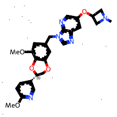 COc1ccc([C@H]2COc3cc(Cn4cnc5cc(OC6CN(C)C6)cnc54)cc(OC)c3O2)cn1